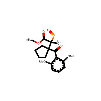 CCCCOC(=O)C(C)(P=O)C1(C(=O)c2c(OC)cccc2OC)CCCC1